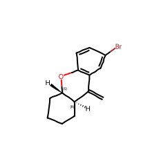 C=C1c2cc(Br)ccc2O[C@H]2CCCC[C@H]12